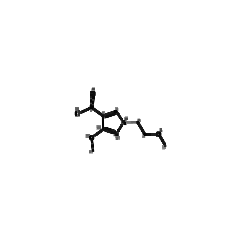 COCCn1cc(C(=O)Cl)c(OC)n1